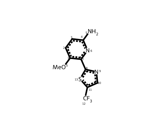 COc1ccc(N)nc1-c1ncc(C(F)(F)F)s1